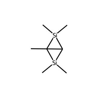 CC12C([Si]1(C)C)[Si]2(C)C